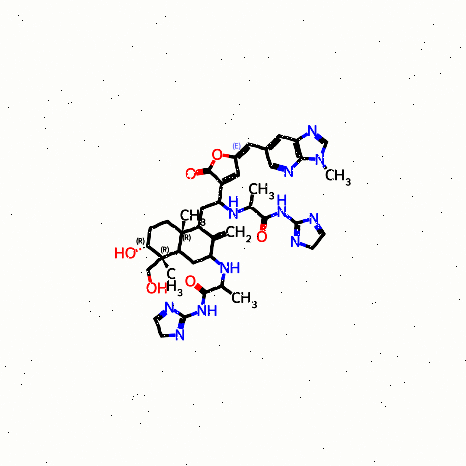 C=C1C(NC(C)C(=O)NC2=NCC=N2)CC2[C@](C)(CC[C@@H](O)[C@@]2(C)CO)C1CC(NC(C)C(=O)NC1=NCC=N1)C1=C/C(=C\c2cnc3c(c2)ncn3C)OC1=O